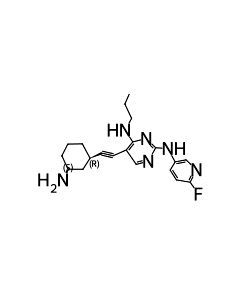 CCCNc1nc(Nc2ccc(F)nc2)ncc1C#C[C@@H]1CCC[C@H](N)C1